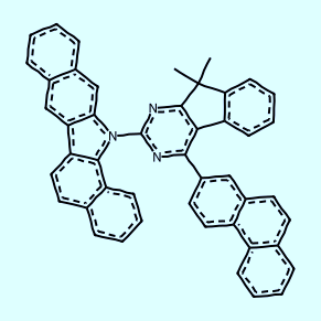 CC1(C)c2ccccc2-c2c(-c3ccc4c(ccc5ccccc54)c3)nc(-n3c4cc5ccccc5cc4c4ccc5ccccc5c43)nc21